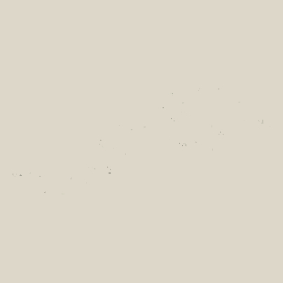 COc1ccc(Cn2cnc(-c3ccc(C4=NC=C5C(N6CCC[C@H]6C(N)=O)=COCC6=C5N4CC6)cc3Cl)n2)cc1